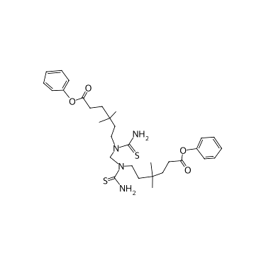 CC(C)(CCC(=O)Oc1ccccc1)CCN(CN(CCC(C)(C)CCC(=O)Oc1ccccc1)C(N)=S)C(N)=S